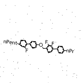 CCCCCc1ccc(-c2ccc(OCc3ccc(-c4ccc(CCC)cc4)c(F)c3F)cc2)c(F)c1